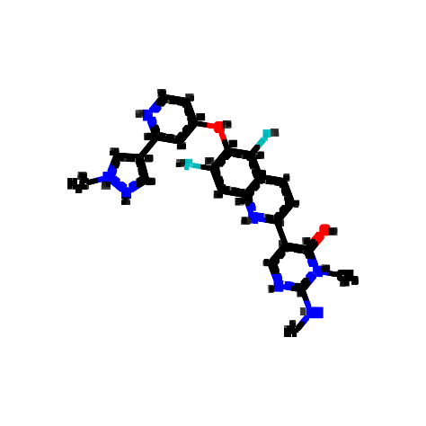 CC(C)Nc1ncc(-c2ccc3c(F)c(Oc4ccnc(-c5cnn(C)c5)c4)c(F)cc3n2)c(=O)n1C